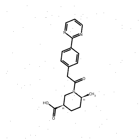 C[C@H]1CC[C@@H](C(=O)O)CN1C(=O)Cc1ccc(-c2ncccn2)cc1